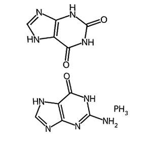 Nc1nc2nc[nH]c2c(=O)[nH]1.O=c1[nH]c(=O)c2[nH]cnc2[nH]1.P